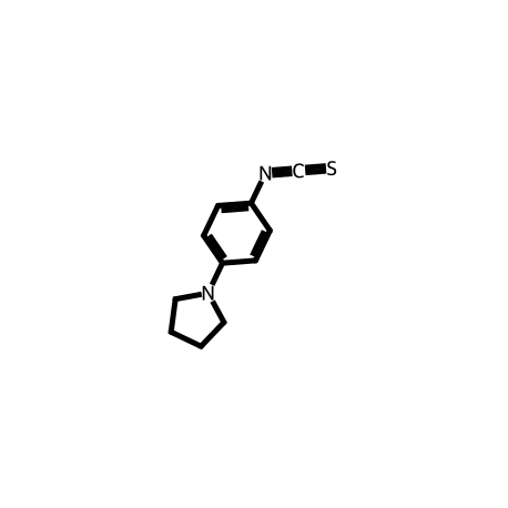 S=C=Nc1ccc(N2CCCC2)cc1